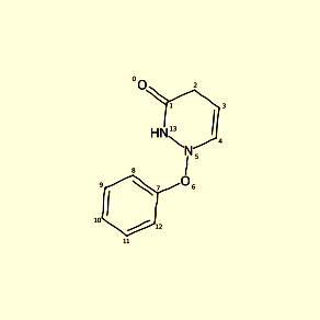 O=C1CC=CN(Oc2ccccc2)N1